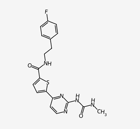 CNC(=O)Nc1nccc(-c2ccc(C(=O)NCCc3ccc(F)cc3)s2)n1